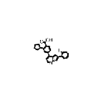 O=C(O)c1ccc(-c2ccnn3cc(-c4ccccc4F)cc23)cc1C1CCCC1